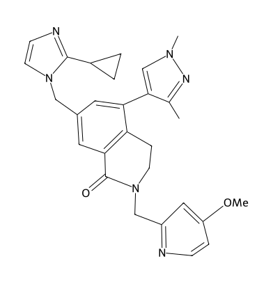 COc1ccnc(CN2CCc3c(cc(Cn4ccnc4C4CC4)cc3-c3cn(C)nc3C)C2=O)c1